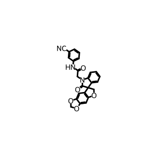 N#Cc1cccc(NC(=O)CN2C(=O)C3(COc4cc5c(cc43)OCO5)c3ccccc32)c1